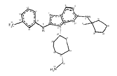 CC1(Nc2ncc3nc(Nc4cccc(C(F)(F)F)c4)n([C@H]4CC[C@@H](CN)CC4)c3n2)CCCC1